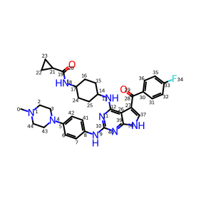 CN1CCN(c2ccc(Nc3nc(NC4CCC(NC(=O)C5CC5)CC4)c4c(C(=O)c5ccc(F)cc5)c[nH]c4n3)cc2)CC1